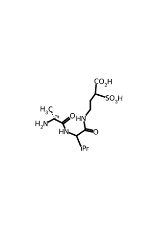 CC(C)C(NC(=O)[C@@H](C)N)C(=O)NCCC(C(=O)O)S(=O)(=O)O